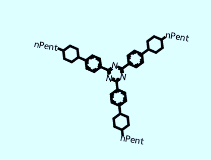 CCCCCC1CCC(c2ccc(-c3nc(-c4ccc(C5CCC(CCCCC)CC5)cc4)nc(-c4ccc(C5CCC(CCCCC)CC5)cc4)n3)cc2)CC1